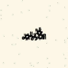 C[C@H](c1c[nH]c(=O)c2cc(F)c(F)cc12)N(C)C(=O)NC1C=CC(=O)C=C1